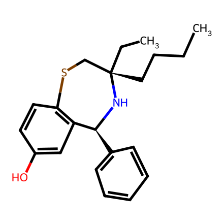 CCCC[C@]1(CC)CSc2ccc(O)cc2[C@H](c2ccccc2)N1